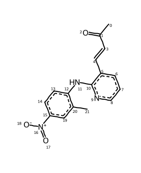 CC(=O)/C=C/c1cccnc1Nc1ccc([N+](=O)[O-])cc1C